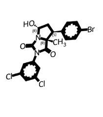 C[C@@]12C(=O)N(c3cc(Cl)cc(Cl)c3)C(=O)N1[C@H](O)C[C@H]2c1ccc(Br)cc1